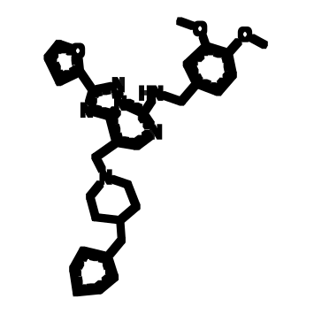 COc1ccc(CNc2ncc(CN3CCC(Cc4ccccc4)CC3)c3nc(-c4ccco4)nn23)cc1OC